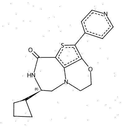 O=C1N[C@H](C2CCC2)CN2CCOc3c(-c4ccncc4)sc1c32